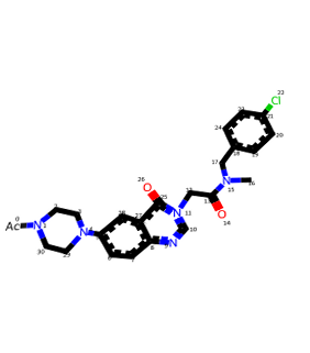 CC(=O)N1CCN(c2ccc3ncn(CC(=O)N(C)Cc4ccc(Cl)cc4)c(=O)c3c2)CC1